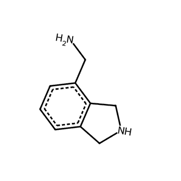 NCc1cccc2c1CNC2